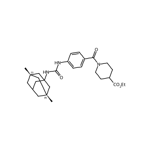 CCOC(=O)C1CCN(C(=O)c2ccc(NC(=O)NC34CC5C[C@@](C)(C3)C[C@](C)(C5)C4)cc2)CC1